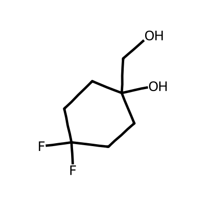 OCC1(O)CCC(F)(F)CC1